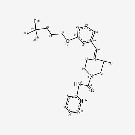 CC1CN(C(=O)Nc2cccnn2)CCC1=Cc1cccc(OCCCC(F)(F)F)c1